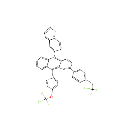 FC(F)(F)Cc1ccc(-c2ccc3c(-c4ccc5ccccc5c4)c4ccccc4c(-c4ccc(OC(F)(F)F)cc4)c3c2)cc1